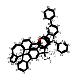 CC1(C)c2ccccc2-c2cc3c(cc21)-c1ccccc1C31c2ccccc2C=Cc2ccc(-c3ccc4c(c3)c3nc(-c5ccccc5)ccc3n4-c3ccccn3)cc21